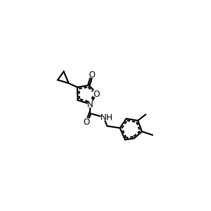 Cc1ccc(CNC(=O)n2cc(C3CC3)c(=O)o2)cc1C